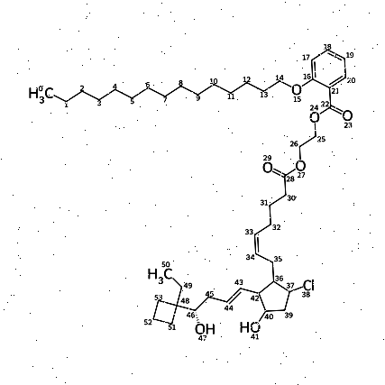 CCCCCCCCCCCCCCCOc1ccccc1C(=O)OCCOC(=O)CCC/C=C\CC1C(Cl)CC(O)C1/C=C/C[C@H](O)C1(CC)CCC1